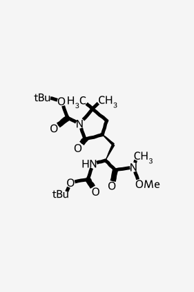 CON(C)C(=O)[C@H](C[C@@H]1CC(C)(C)N(C(=O)OC(C)(C)C)C1=O)NC(=O)OC(C)(C)C